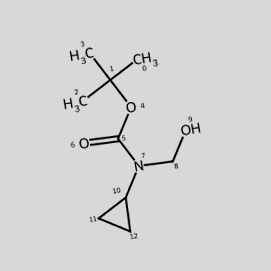 CC(C)(C)OC(=O)N(CO)C1CC1